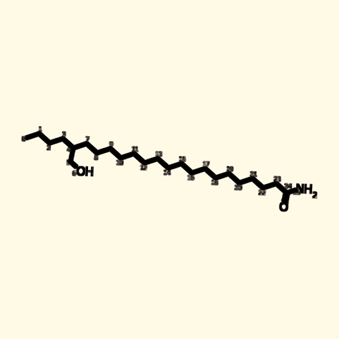 CCCCC(CO)CCCCCCCCCCCCCCCCCC(N)=O